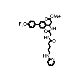 COC(=O)CC(NC(=O)CNC(=O)CCCCNc1ccccn1)c1ccc(-c2ccc(C(F)(F)F)cc2)cc1